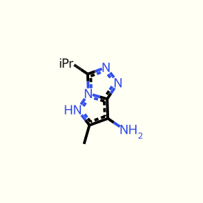 Cc1[nH]n2c(C(C)C)nnc2c1N